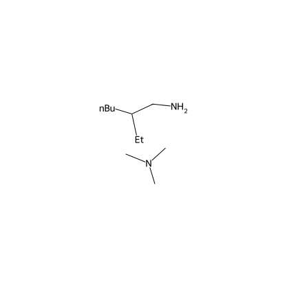 CCCCC(CC)CN.CN(C)C